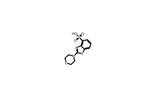 O=S(=O)(O)c1cccc2sc(N3CCOCC3)nc12